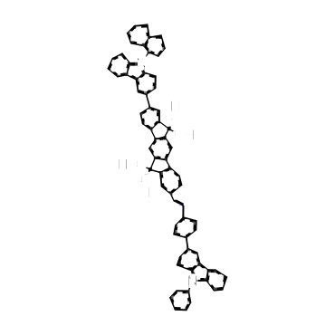 CC1(C)c2cc(/C=C/c3ccc(-c4ccc5c(c4)c4ccccc4n5-c4ccccc4)cc3)ccc2-c2cc3c(cc21)-c1ccc(-c2ccc4c(c2)c2ccccc2n4-c2cccc4ccccc24)cc1C3(C)C